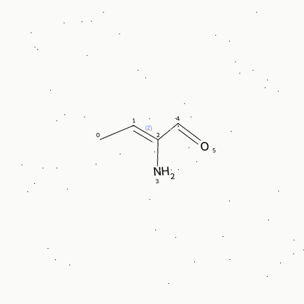 C/C=C(\N)[C]=O